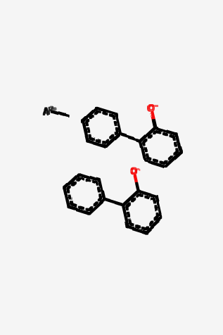 [CH3][Al+2].[O-]c1ccccc1-c1ccccc1.[O-]c1ccccc1-c1ccccc1